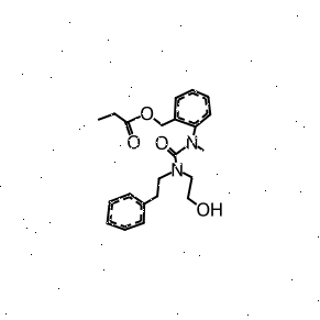 CCC(=O)OCc1ccccc1N(C)C(=O)N(CCO)CCc1ccccc1